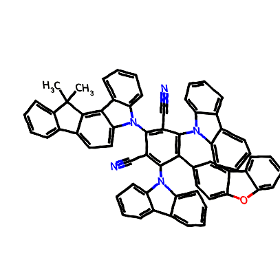 CC1(C)c2ccccc2-c2ccc3c(c21)c1ccccc1n3-c1c(C#N)c(-n2c3ccccc3c3ccccc32)c(-c2ccc3oc4ccccc4c3c2)c(-n2c3ccccc3c3ccccc32)c1C#N